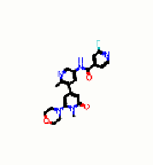 Cc1ncc(NC(=O)c2ccnc(F)c2)cc1-c1cc(N2CCOCC2)n(C)c(=O)c1